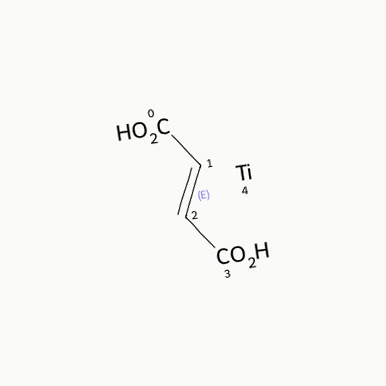 O=C(O)/C=C/C(=O)O.[Ti]